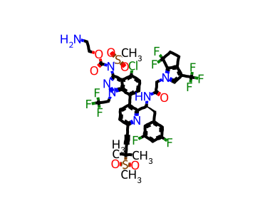 CC(C)(C#Cc1ccc(-c2ccc(Cl)c3c(N(C(=O)OCCN)S(C)(=O)=O)nn(CC(F)(F)F)c23)c([C@H](Cc2cc(F)cc(F)c2)NC(=O)Cn2cc(C(F)(F)F)c3c2C(F)(F)CC3)n1)S(C)(=O)=O